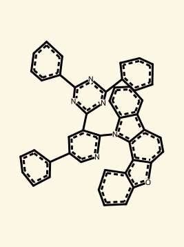 c1ccc(-c2cnc(-n3c4ccccc4c4ccc5oc6ccccc6c5c43)c(-c3nc(-c4ccccc4)nc(-c4ccccc4)n3)c2)cc1